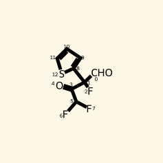 O=CC(F)(C(=O)C(F)F)c1cccs1